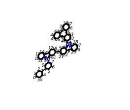 c1ccc(-c2cccc(-n3c4ccccc4c4ccc(-c5ccc6c7ccccc7n(-c7ccc8c9ccccc9c9ccccc9c8c7)c6c5)cc43)c2)cc1